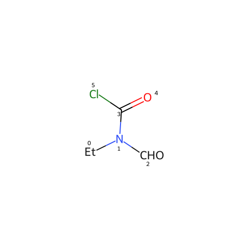 CCN(C=O)C(=O)Cl